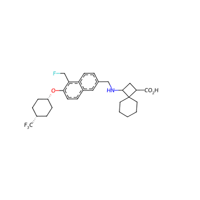 O=C(O)C1CC(NCc2ccc3c(CF)c(O[C@H]4CC[C@@H](C(F)(F)F)CC4)ccc3c2)C12CCCCC2